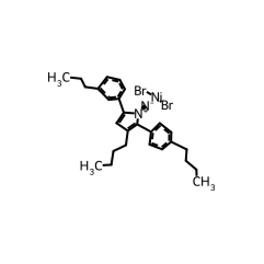 CCCCC1=C(c2ccc(CCCC)cc2)[N+](=[N-])C(c2cccc(CCC)c2)=C1.[Br][Ni][Br]